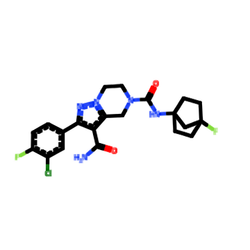 NC(=O)c1c(-c2ccc(F)c(Cl)c2)nn2c1CN(C(=O)NC13CCC(F)(CC1)C3)CC2